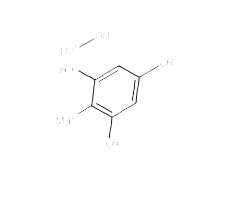 CO.Cc1cc(C)[c]([Mg+2])c(C)c1